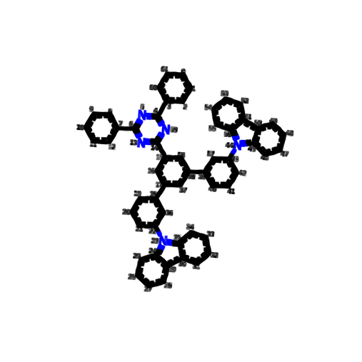 c1ccc(-c2nc(-c3ccccc3)nc(-c3cc(-c4cccc(-n5c6ccccc6c6ccccc65)c4)cc(-c4cccc(-n5c6ccccc6c6ccccc65)c4)c3)n2)cc1